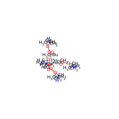 CCCCC(C)(CCCc1cc(CCCC(C)(CCCC)C(=O)OCCCOC2CC(C)(C)NC(C)(C)C2)cc(CCCC(CCCC)(C(=O)OCCCOC2CC(C)(C)NC(C)(C)C2)C(=O)OCCCOC2CC(C)(C)NC(C)(C)C2)c1)C(=O)OCCCOC1CC(C)(C)NC(C)(C)C1